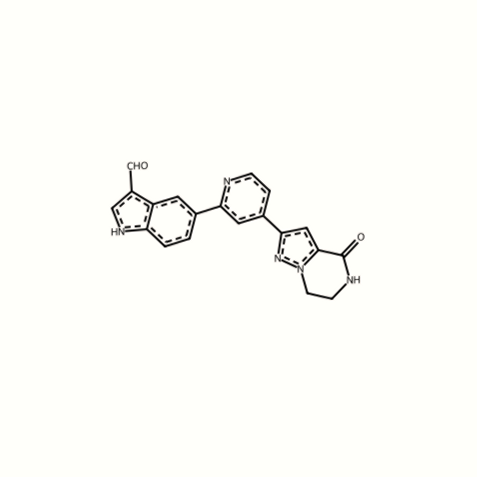 O=Cc1c[nH]c2ccc(-c3cc(-c4cc5n(n4)CCNC5=O)ccn3)cc12